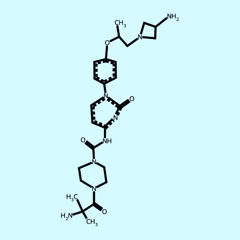 CC(CN1CC(N)C1)Oc1ccc(-n2ccc(NC(=O)N3CCN(C(=O)C(C)(C)N)CC3)nc2=O)cc1